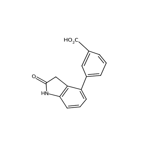 O=C1Cc2c(cccc2-c2cccc(C(=O)O)c2)N1